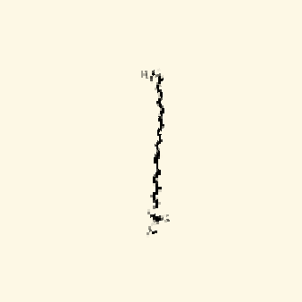 CCCCCCCCCCC/C=C/CCCCCOC(C)=O